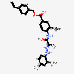 C=Cc1ccc(COC(=O)c2ccc(NC(=O)/C(=N/Nc3ccc([N+](=O)[O-])cc3OC)C(C)=O)c(OC)c2)cc1